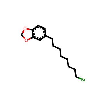 BrCCCCCCCCc1ccc2c(c1)OCO2